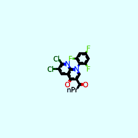 CCCC(=O)c1cn(-c2c(F)cc(F)cc2F)c2nc(Cl)c(Cl)cc2c1=O